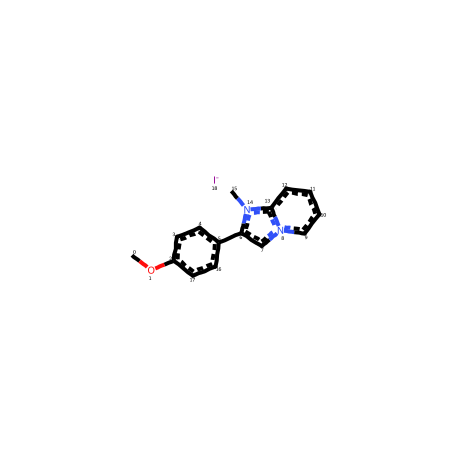 COc1ccc(-c2c[n+]3ccccc3n2C)cc1.[I-]